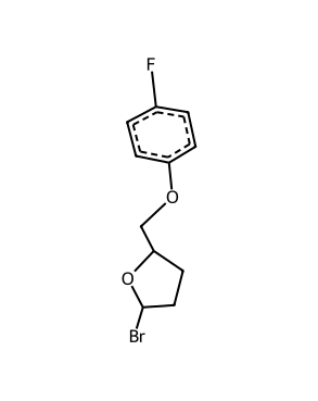 Fc1ccc(OCC2CCC(Br)O2)cc1